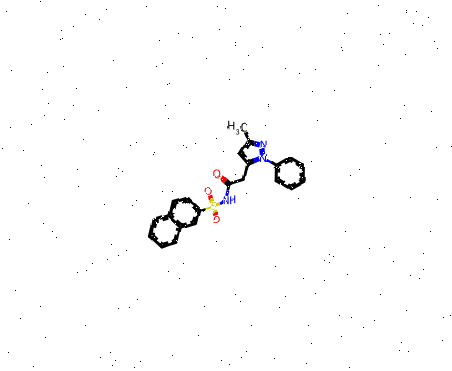 Cc1cc(CC(=O)NS(=O)(=O)c2ccc3ccccc3c2)n(-c2ccccc2)n1